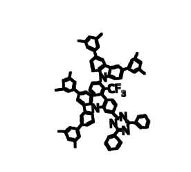 Cc1cc(C)cc(-c2ccc3c(c2)c2cc(-c4cc(C)cc(C)c4)ccc2n3-c2cc(-c3nc(-c4ccccc4)nc(-c4ccccc4)n3)ccc2-c2cccc(-n3c4ccc(-c5cc(C)cc(C)c5)cc4c4cc(-c5cc(C)cc(C)c5)ccc43)c2C(F)(F)F)c1